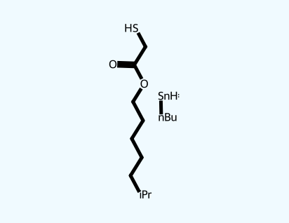 CC(C)CCCCCOC(=O)CS.CCC[CH2][SnH]